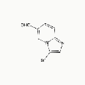 O=Cc1ccc2ncc(Br)n2c1